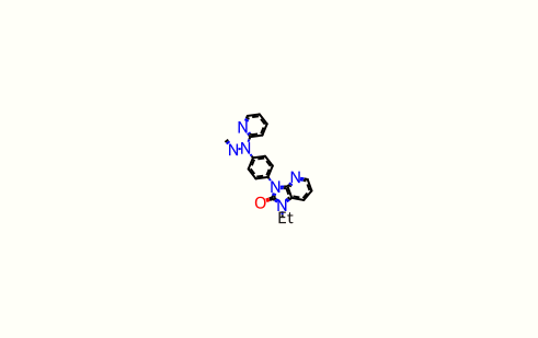 C=NN(c1ccc(-n2c(=O)n(CC)c3cccnc32)cc1)c1ccccn1